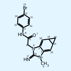 Cn1c2c(n(CC(=O)Nc3ccc(Br)cc3)c1=N)=CC1CC1C=2